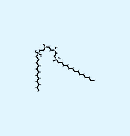 CCCCCCCCCCCCCC[N+](C)(C)CCN(C)CCN(C)CC[N+](C)(C)CCCCCCCCCCCC